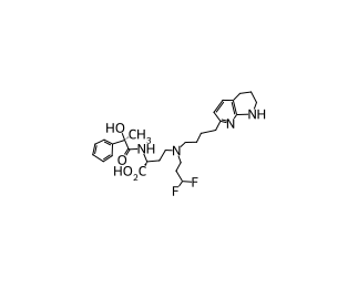 C[C@](O)(C(=O)N[C@@H](CCN(CCCCc1ccc2c(n1)NCCC2)CCC(F)F)C(=O)O)c1ccccc1